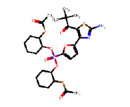 CC(=O)SC1CCCCC1OP(=O)(OC1CCCCC1SC(C)=O)c1ccc(-c2nc(N)sc2C(=O)C(C)(C)C)o1